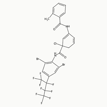 Cc1ccccc1C(=O)NC1=CC(Cl)(C(=O)Nc2c(Br)cc(C(F)(C(F)(F)F)C(F)(F)C(F)(F)F)cc2Br)CC=C1